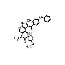 COC1CCC2(C1)Nc1c(cnc3[nH]cc(C(=O)c4ccc(Oc5ccccc5)cc4Cl)c13)N(C)C2=O